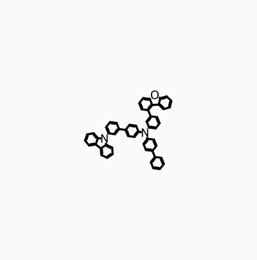 c1ccc(-c2ccc(N(c3ccc(-c4cccc(-n5c6ccccc6c6ccccc65)c4)cc3)c3cccc(-c4cccc5oc6ccccc6c45)c3)cc2)cc1